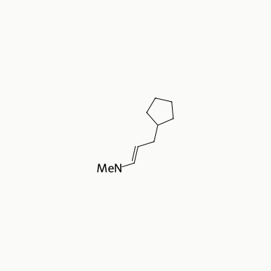 CN/C=C/CC1CCCC1